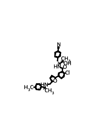 Cc1ccc([C@@H](C)NCc2ccc(-c3ccc(Cl)c(C(=O)N[C@H](Cc4ccc(C#N)cc4)[C@H](C)O)c3)o2)cc1